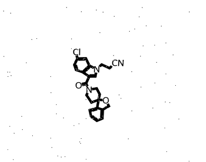 N#CCCn1cc(C(=O)N2CCC3(CC2)OCc2ccccc23)c2ccc(Cl)cc21